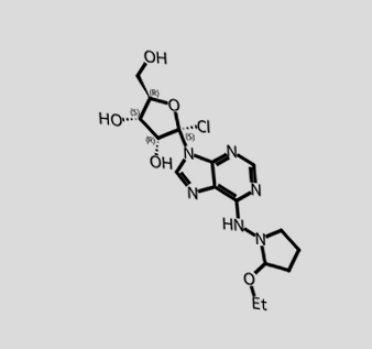 CCOC1CCCN1Nc1ncnc2c1ncn2[C@]1(Cl)O[C@H](CO)[C@@H](O)[C@H]1O